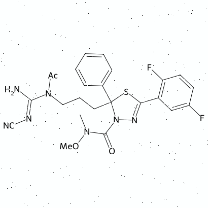 CON(C)C(=O)N1N=C(c2cc(F)ccc2F)SC1(CCCN(C(C)=O)C(N)=NC#N)c1ccccc1